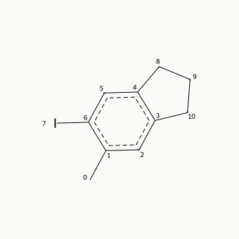 Cc1cc2c(cc1I)CCC2